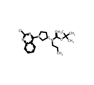 CCCN(C(=O)OC(C)(C)C)[C@H]1CCN(c2nc(Cl)nc3ccccc23)C1